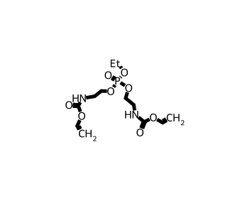 C=COC(=O)NCCOP(=O)(OCC)OCCNC(=O)OC=C